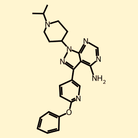 CC(C)N1CCC(n2nc(-c3ccc(Oc4ccccc4)nc3)c3c(N)ncnc32)CC1